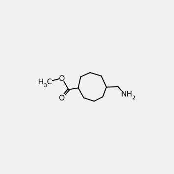 COC(=O)C1CCCC(CN)CCC1